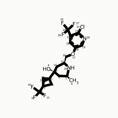 C[C@H]1C[C@@](O)(C23CC(C(F)(F)F)(C2)C3)C[C@@H](COc2cnc(Cl)c(C(F)(F)F)c2)N1